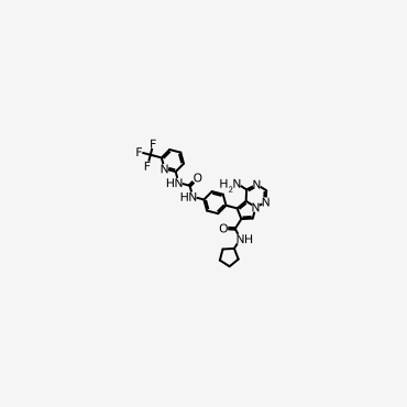 Nc1ncnn2cc(C(=O)NC3CCCC3)c(-c3ccc(NC(=O)Nc4cccc(C(F)(F)F)n4)cc3)c12